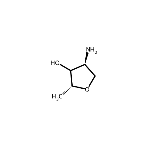 C[C@H]1OC[C@H](N)C1O